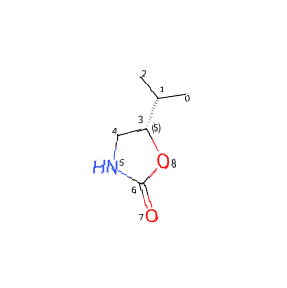 CC(C)[C@H]1CNC(=O)O1